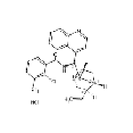 C=C[C@H]1C[N@]2CC[C@H]1C[C@H]2[C@@H](NC(=O)c1cccc(C(F)(F)F)c1Cl)c1ccnc2ccccc12.Cl